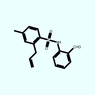 C=CCc1cc(C)ccc1S(=O)(=O)Nc1ccccc1C=O